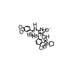 CC(C)(C)[C@@H](Nc1n[s+]([O-])nc1Nc1ccc(Cl)c(S(=O)(=O)N2CCCC2)c1O)c1ccc2c(c1)OCO2